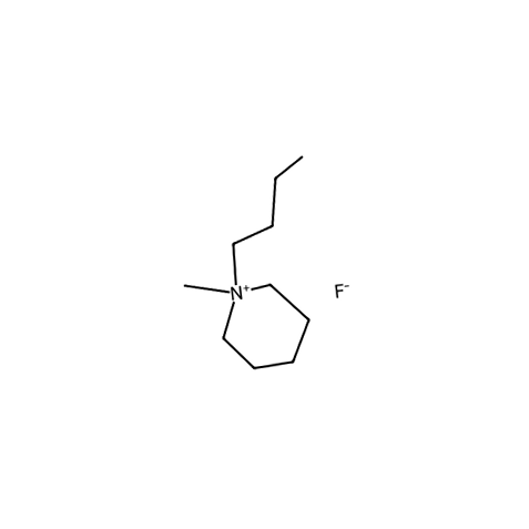 CCCC[N+]1(C)CCCCC1.[F-]